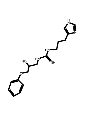 N=C(NCCCc1c[nH]cn1)NCC(O)COc1ccccc1